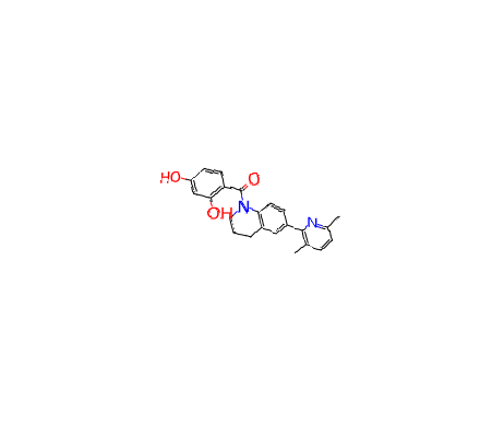 Cc1ccc(C)c(-c2ccc3c(c2)CCCN3C(=O)c2ccc(O)cc2O)n1